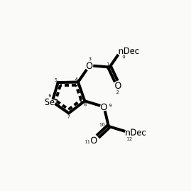 CCCCCCCCCCC(=O)Oc1c[se]cc1OC(=O)CCCCCCCCCC